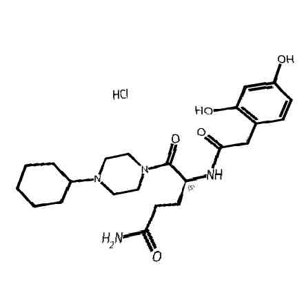 Cl.NC(=O)CC[C@H](NC(=O)Cc1ccc(O)cc1O)C(=O)N1CCN(C2CCCCC2)CC1